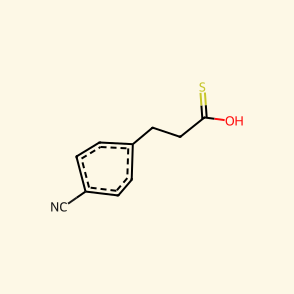 N#Cc1ccc(CCC(O)=S)cc1